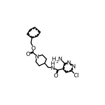 Nc1nnc(Cl)cc1C(=O)NCC1CCN(C(=O)OCc2ccccc2)CC1